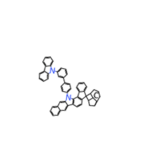 c1cc(-c2ccc(-n3c4cc5ccccc5cc4c4ccc5c(c43)-c3ccccc3C53C4CC5CC6CC3C4(C5)C6)cc2)cc(-n2c3ccccc3c3ccccc32)c1